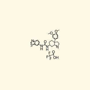 COc1ccc(C23CCC(NC(=O)Nc4ccc5ncsc5c4)CC2N(C)CC3)cc1OC.O=C(O)C(F)(F)F